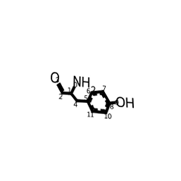 NC(C=O)Cc1ccc(O)cc1